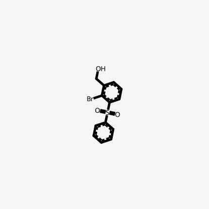 O=S(=O)(c1ccccc1)c1cccc(CO)c1Br